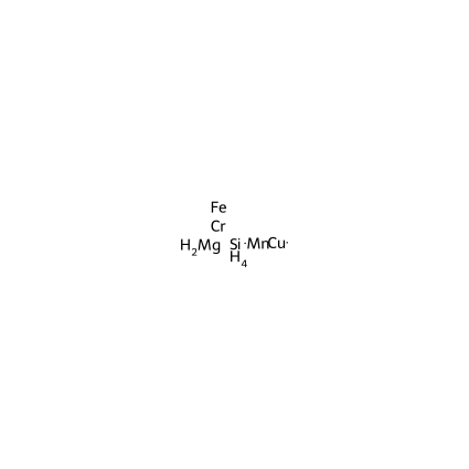 [Cr].[Cu].[Fe].[MgH2].[Mn].[SiH4]